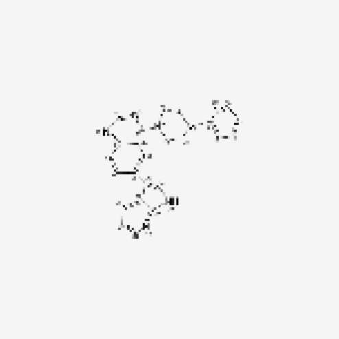 c1ccc(N2CCN(c3ncnc4ccc(-c5c[nH]c6ncccc56)cc34)CC2)nc1